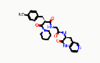 N#Cc1ccc(C[C@H](C(=O)NCC(=O)N[C@@H](Cc2cccnc2)C(N)=O)C(=O)N2CCCCC2)cc1